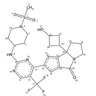 CS(=O)(=O)N1CCC(Nc2ncc(C(F)(F)F)c(-c3cc4c(s3)C3(C5CC(O)C5)CCCN3C4=O)n2)CC1